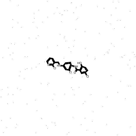 O=C(Nc1ccc(NCc2cccnc2Cl)cc1Cl)c1cc(Cl)ccc1O